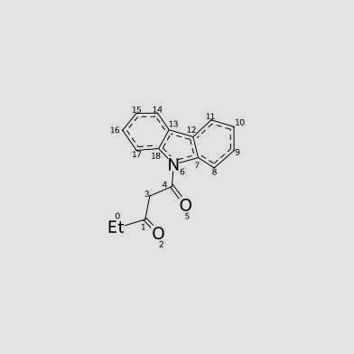 CCC(=O)CC(=O)n1c2ccccc2c2ccccc21